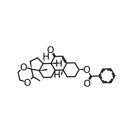 CC1OCCO[C@@]12CC[C@H]1[C@@H]3C(=O)C=C4C[C@@H](OC(=O)c5ccccc5)CC[C@]4(C)[C@H]3CC[C@@]12C